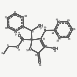 CCOC(=O)C1(C(S)c2ncccn2)OC(=O)C(O)=C1Sc1ncccn1